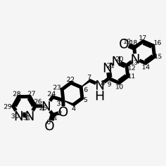 O=C1O[C@]2(CC[C@H](CNc3ccc(-n4ccccc4=O)nn3)CC2)CN1c1cccnn1